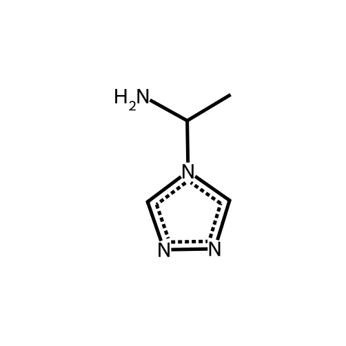 CC(N)n1cnnc1